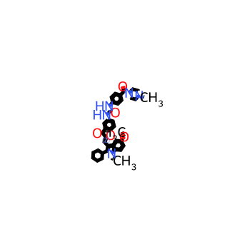 CCn1c(C2CCCCC2)c(/C=C2\Oc3ccc(NC(=O)Nc4ccc(C(=O)N5CCN(C)CC5)cc4)cc3C2=O)c2cc(OC)ccc21